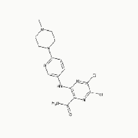 CCc1nc(C(N)=O)c(Nc2ccc(N3CCN(C)CC3)nc2)nc1Cl